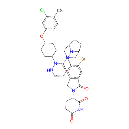 N#Cc1ccc(OC2CCC(N3NC=CC=C3N3CC4CCC(C3)N4Cc3cc4c(cc3Br)C(=O)N(C3CCC(=O)NC3=O)C4)CC2)cc1Cl